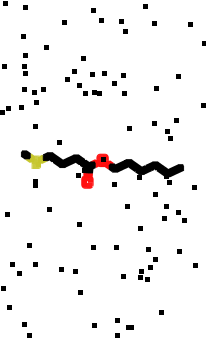 CCCCCCOC(=O)CCCSC